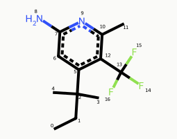 CCC(C)(C)c1cc(N)nc(C)c1C(F)(F)F